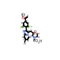 C=C(OCC)c1cc(F)c(-c2nc3cc(C)ccn3c2CC2CN(C(=O)O)CCO2)c(F)c1